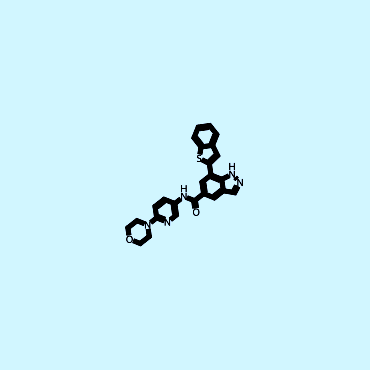 O=C(Nc1ccc(N2CCOCC2)nc1)c1cc(-c2cc3ccccc3s2)c2[nH]ncc2c1